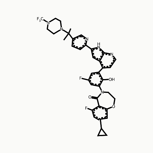 CC(C)(c1ccc(-c2cc3c(-c4cc(F)cc(N5CCOc6cc(C7CC7)cc(F)c6C5=O)c4O)ccnc3[nH]2)nc1)N1CCN(C(F)(F)F)CC1